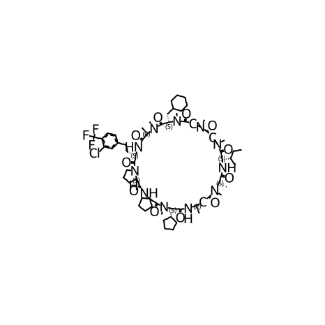 CCC(C)[C@@H]1NC(=O)[C@H](C)N(C)C(=O)C[C@@H](C)NC(=O)[C@H](C2CCCC2)N(C)C(=O)C2(CCCC2)NC(=O)[C@@H]2CCCN2C(=O)[C@H](CCc2ccc(C(F)(F)F)c(Cl)c2)NC(=O)[C@@H](C)N(C)C(=O)[C@H](CC2CCCCC2)N(C)C(=O)CN(C)C(=O)CN(C)C1=O